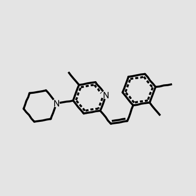 Cc1cnc(/C=C\c2cccc(C)c2C)cc1N1CCCCC1